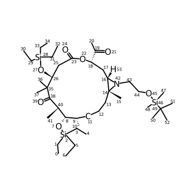 CC[Si](CC)(CC)O[C@H]1[C@@H](C)CCC[C@]2(C)[C@H](C[C@@H](C(C)=O)OC(=O)C[C@H](O[Si](CC)(CC)CC)C(C)(C)C(=O)[C@@H]1C)N2CCO[Si](C)(C)C(C)(C)C